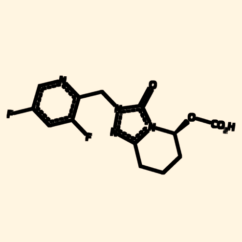 O=C(O)O[C@H]1CCCc2nn(Cc3ncc(F)cc3F)c(=O)n21